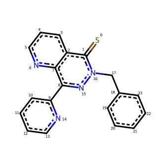 S=c1c2cccnc2c(-c2ccccn2)nn1Cc1ccccc1